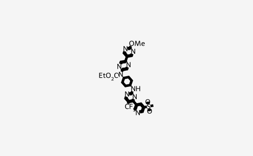 CCOC(=O)N(c1cnc(-c2cnc(OC)nc2)cn1)[C@H]1CC[C@H](Nc2ncc(C(F)(F)F)c(-c3cncc(S(C)(=O)=O)c3)n2)CC1